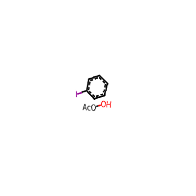 CC(=O)OO.Ic1ccccc1